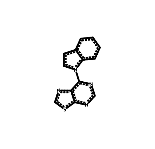 c1ccc2c(c1)ccn2-c1ncnc2scnc12